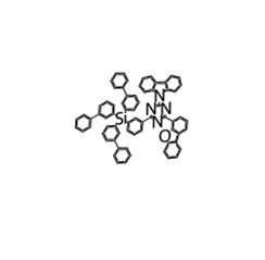 c1ccc(-c2cccc([Si](c3cccc(-c4ccccc4)c3)(c3cccc(-c4ccccc4)c3)c3cccc(-c4nc(-c5cccc6c5oc5ccccc56)nc(-n5c6ccccc6c6ccccc65)n4)c3)c2)cc1